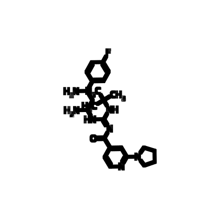 CC(C)(C)N/C(=N/C(=O)c1ccnc(N2CCCC2)c1)NC(N)CC(N)c1ccc(F)cc1